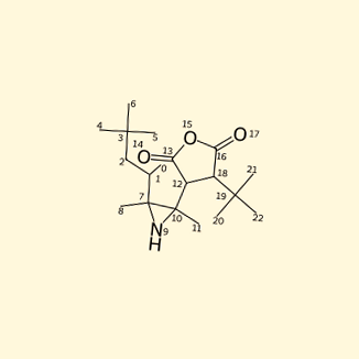 CC(CC(C)(C)C)C1(C)NC1(C)C1C(=O)OC(=O)C1C(C)(C)C